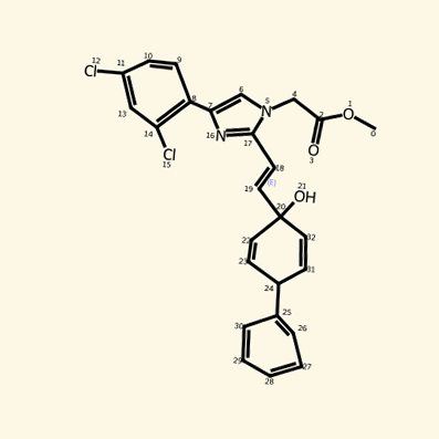 COC(=O)Cn1cc(-c2ccc(Cl)cc2Cl)nc1/C=C/C1(O)C=CC(c2ccccc2)C=C1